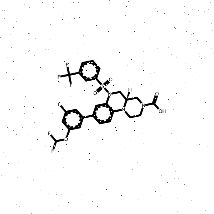 O=C(O)N1CCN2c3ccc(-c4cc(F)cc(OC(F)F)c4)cc3N(S(=O)(=O)c3cccc(C(F)(F)F)c3)C[C@@H]2C1